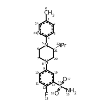 Cc1ccc(N2CCN(c3ccc(F)c(S(N)(=O)=O)c3)C[C@H]2C(C)C)nc1